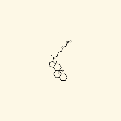 C[C@H](CCCOCN=O)C1CCC2C3CCC4CCCCC4(C)[C@H]3CCC21C